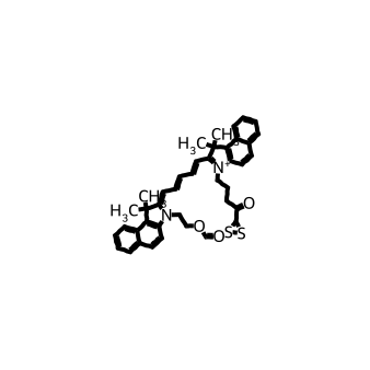 CC1(C)C(/C=C/C=C/C=C2\N(CCOC=O)c3ccc4ccccc4c3C2(C)C)=[N+](CCCC(=O)C2SS2)c2ccc3ccccc3c21